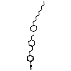 CCCCCCCCC[C@H]1CC[C@H](CCC2CC=C(CCc3ccc(C#N)cc3)CC2)CC1